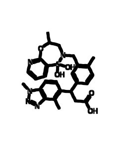 Cc1ccc(C(CC(=O)O)c2ccc3c(nnn3C)c2C)cc1CN1CC(C)Oc2ncccc2S1(O)O